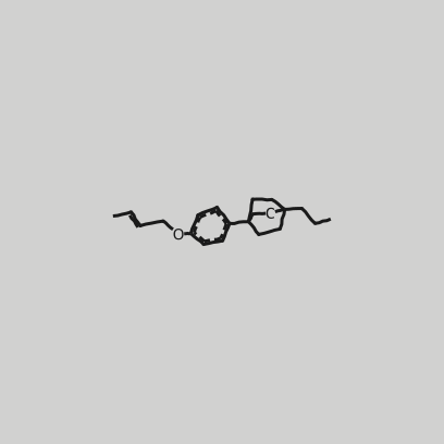 CC=CCOc1ccc(C23CCC(CCC)(CC2)CC3)cc1